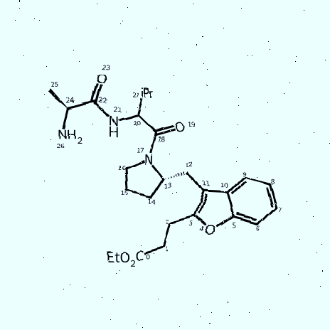 CCOC(=O)CCc1oc2ccccc2c1C[C@@H]1CCCN1C(=O)C(NC(=O)[C@H](C)N)C(C)C